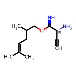 C#C[C@@H](N)C(=N)OCC(C)CC=C(C)C